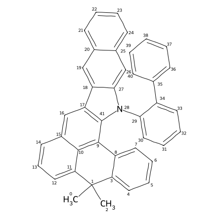 CC1(C)c2ccccc2-c2c3c1cccc3cc1c3cc4ccccc4cc3n(-c3ccccc3-c3ccccc3)c21